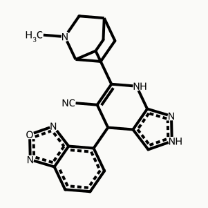 CN1CC2CCC1C(C1=C(C#N)C(c3cccc4nonc34)c3c[nH]nc3N1)C2